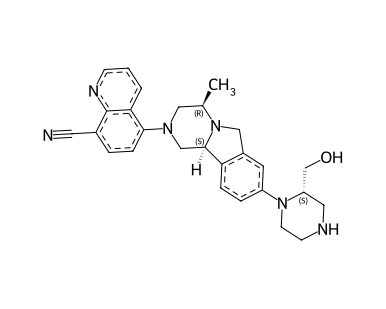 C[C@@H]1CN(c2ccc(C#N)c3ncccc23)C[C@@H]2c3ccc(N4CCNC[C@H]4CO)cc3CN12